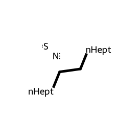 CCCCCCCCCCCCCCCC.[N].[S]